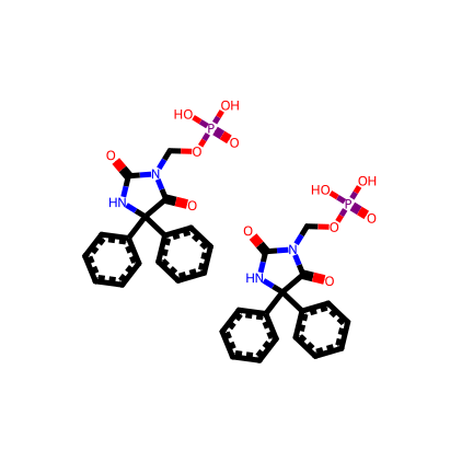 O=C1NC(c2ccccc2)(c2ccccc2)C(=O)N1COP(=O)(O)O.O=C1NC(c2ccccc2)(c2ccccc2)C(=O)N1COP(=O)(O)O